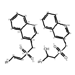 CC(C)C(O)CS(=O)(=O)Cc1cnc2ccccc2c1.CC(C)C=CS(=O)(=O)Cc1cnc2ccccc2c1